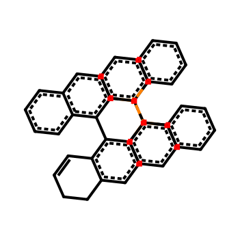 C1=Cc2c(ccc(P(c3ccccc3)c3ccccc3)c2-c2c(P(c3ccccc3)c3ccccc3)ccc3ccccc23)CC1